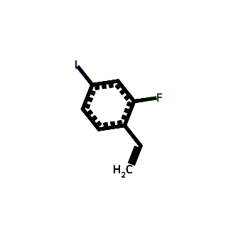 C=Cc1ccc(I)cc1F